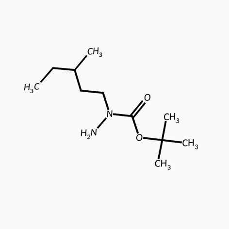 CCC(C)CCN(N)C(=O)OC(C)(C)C